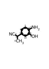 CC(C#N)c1ccc(N)c(O)c1